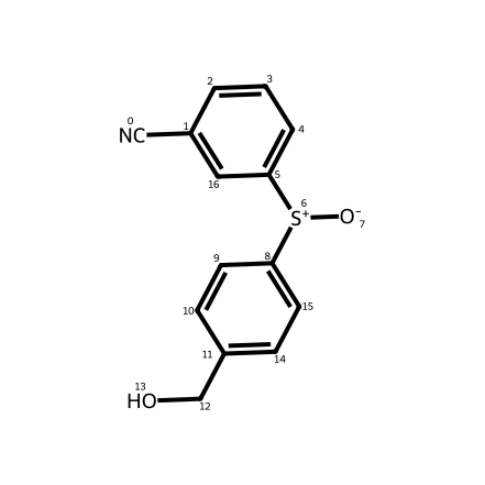 N#Cc1cccc([S+]([O-])c2ccc(CO)cc2)c1